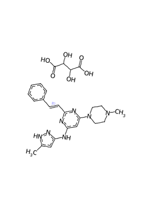 Cc1cc(Nc2cc(N3CCN(C)CC3)nc(/C=C/c3ccccc3)n2)n[nH]1.O=C(O)C(O)C(O)C(=O)O